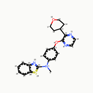 CN(c1ccc(Oc2nccnc2C2CCOCC2)cc1)c1nc2ccccc2s1